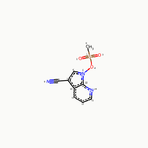 CS(=O)(=O)On1cc(C#N)c2cccnc21